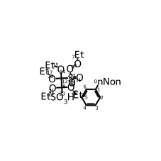 CCCCCCCCCc1ccccc1.CCOOS(=O)(=O)C(OCC)(OCC)C(OCC)(OCC)S(=O)(=O)O